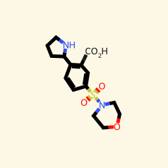 O=C(O)c1cc(S(=O)(=O)N2CCOCC2)ccc1C1CCCN1